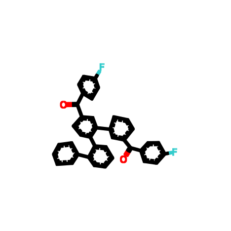 O=C(c1ccc(F)cc1)c1cccc(-c2cc(C(=O)c3ccc(F)cc3)ccc2-c2ccccc2-c2ccccc2)c1